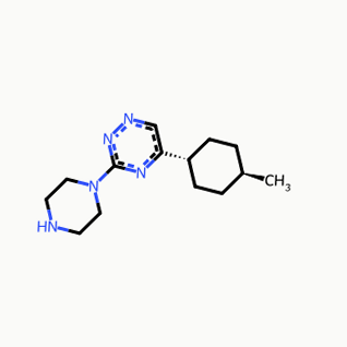 C[C@H]1CC[C@H](c2cnnc(N3CCNCC3)n2)CC1